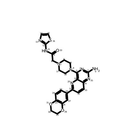 Nc1nc(N2CCN(CC(=O)Nc3nccs3)CC2)c2nc(-c3ccc4c(c3)OCCO4)ccc2n1